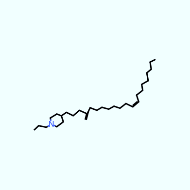 C=C(CCCCCCC/C=C\CCCCCCCC)CCCC1CCN(CCC)CC1